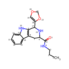 CCCNC(=O)C1Cc2c([nH]c3ccccc23)C(C2=COCO2)N1